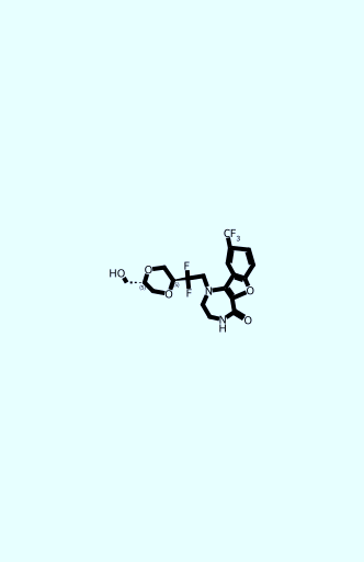 O=C1NCCN(CC(F)(F)[C@@H]2CO[C@@H](CO)CO2)c2c1oc1ccc(C(F)(F)F)cc21